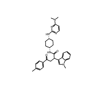 Cc1ccc(C(=O)CC(C(=O)N[C@H]2CC[C@@H](Nc3nccc(N(C)C)n3)CC2)c2cn(C)c3ccccc23)cc1